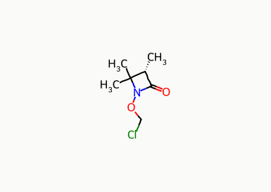 C[C@@H]1C(=O)N(OCCl)C1(C)C